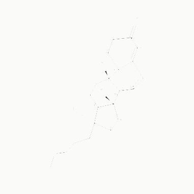 CCOC(=O)OCCC[C@]1(O)CC[C@H]2[C@@H]3C=CC4=CC(=O)CC[C@]4(C)[C@H]3CC[C@@]21C